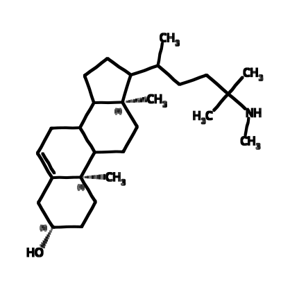 CNC(C)(C)CCC(C)C1CCC2C3CC=C4C[C@@H](O)CC[C@]4(C)C3CC[C@]12C